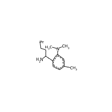 Cc1ccc(C(N)CCC(C)C)c(N(C)C)c1